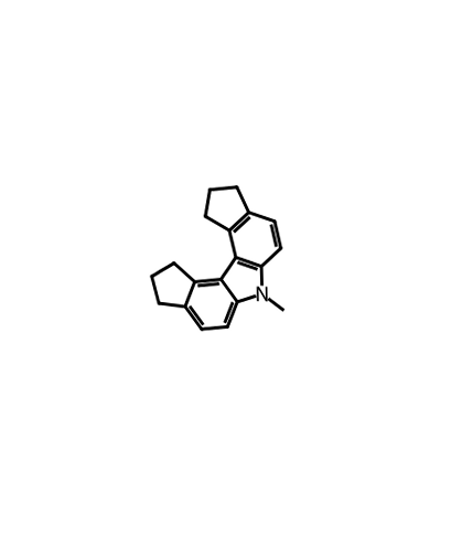 Cn1c2ccc3c(c2c2c4c(ccc21)CCC4)CCC3